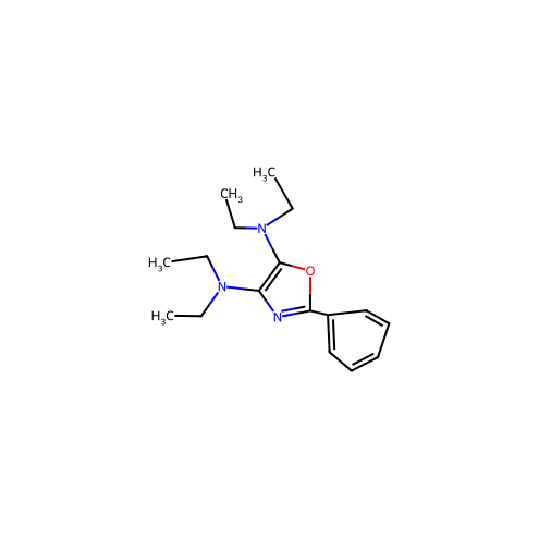 CCN(CC)c1nc(-c2ccccc2)oc1N(CC)CC